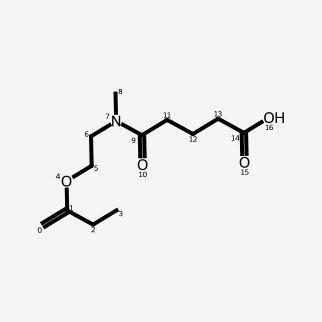 C=C(CC)OCCN(C)C(=O)CCCC(=O)O